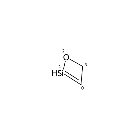 C1=[SiH]OC1